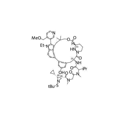 CCn1c(-c2cnccc2COC)c2c3cc(ccc31)-c1cc(O)cc(c1)C[C@H](NC(=O)C(C(C)C)N(C)C(=O)CN(C)C(=O)[C@H]1[C@@H](C3CC3)N1SC(C)(C)C)C(=O)N1CCC[C@H](N1)C(=O)OCC(C)(C)C2